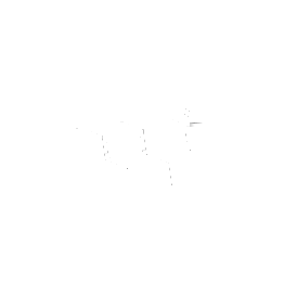 CC1NS(=O)(=O)Oc2cc(Br)ccc21